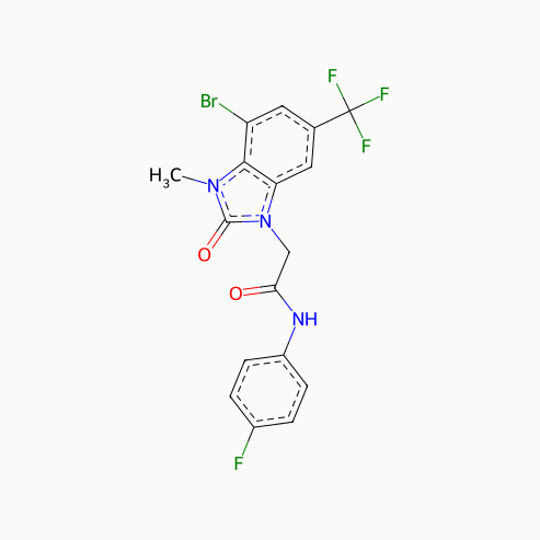 Cn1c(=O)n(CC(=O)Nc2ccc(F)cc2)c2cc(C(F)(F)F)cc(Br)c21